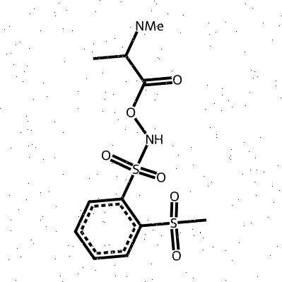 CNC(C)C(=O)ONS(=O)(=O)c1ccccc1S(C)(=O)=O